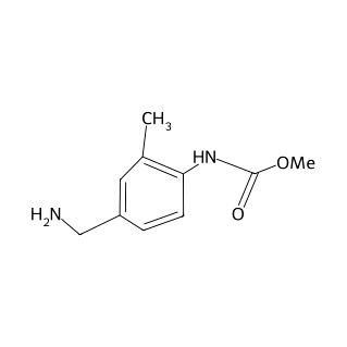 COC(=O)Nc1ccc(CN)cc1C